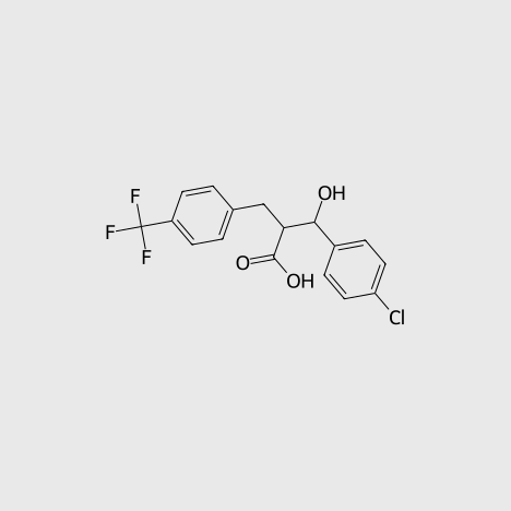 O=C(O)C(Cc1ccc(C(F)(F)F)cc1)C(O)c1ccc(Cl)cc1